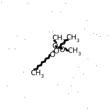 CCCCCCCCCCOCOC(OCCC)=C(CCCCC)OCCC